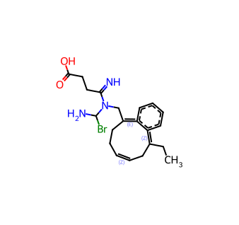 CC/C1=c2\cccc\c2=C(/CN(C(=N)CCC(=O)O)C(N)Br)CC/C=C\C1